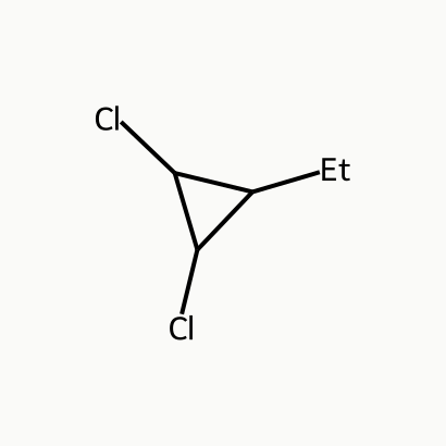 CCC1C(Cl)C1Cl